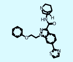 O=C(N[C@@H]1CN2CCC1CC2)c1nn(CCOc2ccccc2)c2cc(-c3nccs3)ccc12